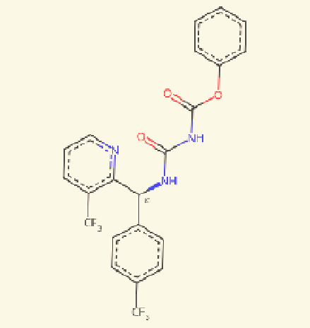 O=C(NC(=O)Oc1ccccc1)N[C@@H](c1ccc(C(F)(F)F)cc1)c1ncccc1C(F)(F)F